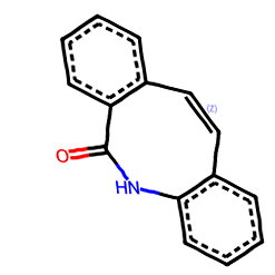 O=C1Nc2ccccc2/C=C\c2ccccc21